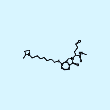 CNC(=O)C(CCC=O)N1Cc2c(SCCCCCCCN3CCC3C)cccc2C1=O